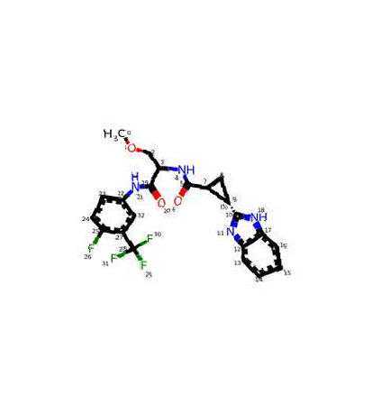 COCC(NC(=O)C1C[C@@H]1c1nc2ccccc2[nH]1)C(=O)Nc1ccc(F)c(C(F)(F)F)c1